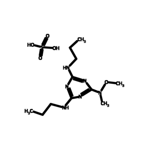 CCCNc1nc(NCCC)nc(N(C)OC)n1.O=S(=O)(O)O